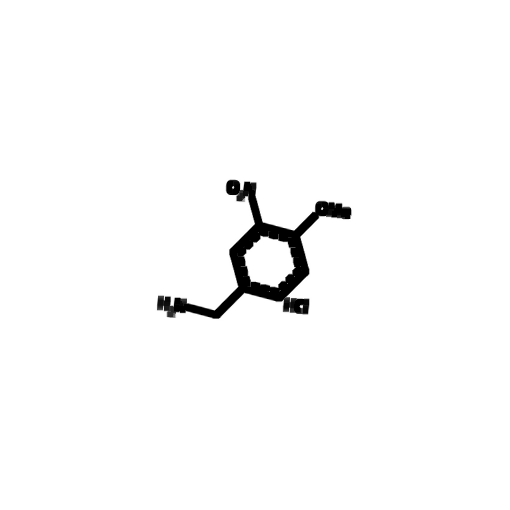 COc1ccc(CN)cc1[N+](=O)[O-].Cl